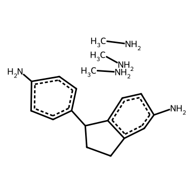 CN.CN.CN.Nc1ccc(C2CCc3cc(N)ccc32)cc1